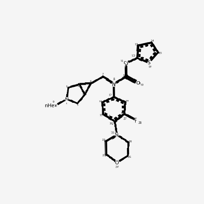 CCCCCCN1CC2C(C1)C2CN(C(=O)Oc1cccs1)c1ccc(N2CCOCC2)c(F)c1